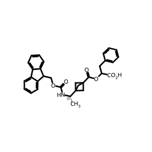 C[C@H](NC(=O)OCC1c2ccccc2-c2ccccc21)C12CC(C(=O)OC(Cc3ccccc3)C(=O)O)(C1)C2